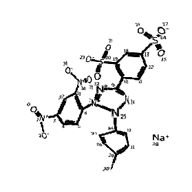 O=[N+]([O-])c1ccc(-[n+]2nc(-c3ccc(S(=O)(=O)[O-])cc3S(=O)(=O)[O-])nn2-c2ccc(I)cc2)c([N+](=O)[O-])c1.[Na+]